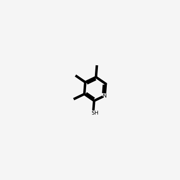 Cc1cnc(S)c(C)c1C